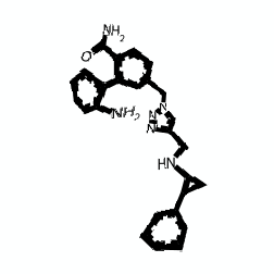 NC(=O)c1ccc(Cn2cc(CNC3CC3c3ccccc3)nn2)cc1-c1ccccc1N